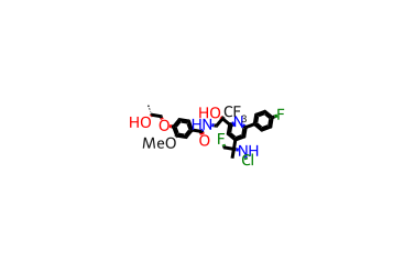 COc1cc(C(=O)NCC(O)(c2cc(C(C)(CF)NCl)cc(-c3ccc(F)cc3)n2)C(F)(F)F)ccc1OC[C@@H](C)O